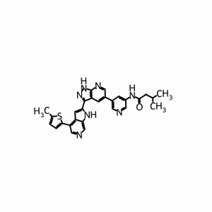 Cc1ccc(-c2cncc3[nH]c(-c4n[nH]c5ncc(-c6cncc(NC(=O)CC(C)C)c6)cc45)cc23)s1